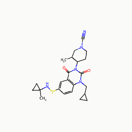 CC1CN(C#N)CCC1n1c(=O)c2cc(SNC3(C)CC3)ccc2n(CC2CC2)c1=O